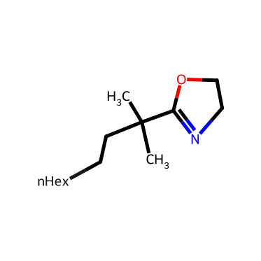 CCCCCCCCC(C)(C)C1=NCCO1